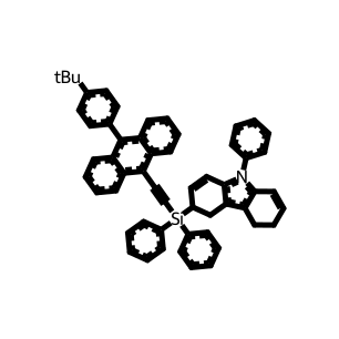 CC(C)(C)c1ccc(-c2c3ccccc3c(C#C[Si](c3ccccc3)(c3ccccc3)C3C=Cc4c(c5c(n4-c4ccccc4)C=CCC5)C3)c3ccccc23)cc1